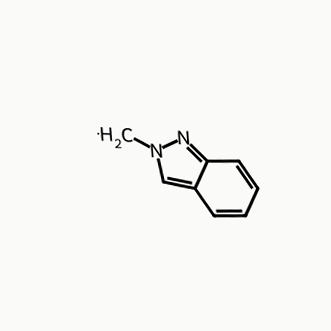 [CH2]n1cc2ccccc2n1